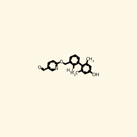 Cc1cc(O)cc(C)c1-c1cccc(COc2ccc(C=O)cn2)c1C